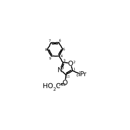 CC(C)c1oc(-c2ccccc2)nc1OC(=O)O